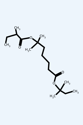 CCC(C)C(=O)OC(C)(C)CCCCC(=O)OC(C)(C)CC